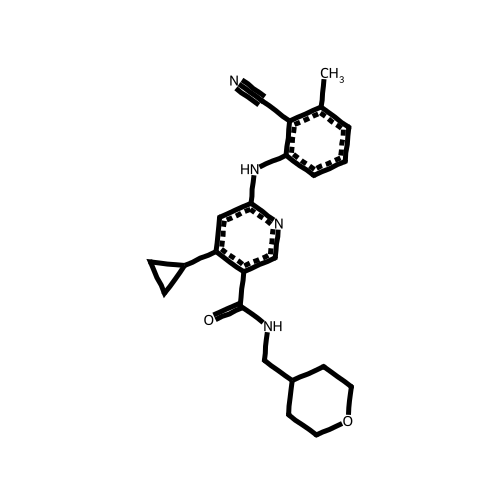 Cc1cccc(Nc2cc(C3CC3)c(C(=O)NCC3CCOCC3)cn2)c1C#N